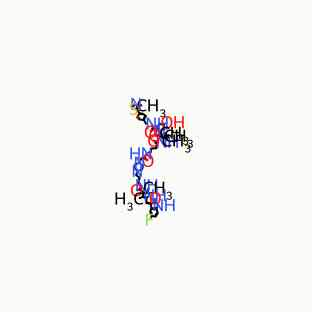 Cc1ncsc1-c1ccc(CNC(=O)[C@@H]2C[C@@H](O)CN2C(=O)[C@@H](NC(=O)CCCNC(=O)CN2CCN(CCCNC(=O)c3c(C)[nH]c(/C=C4\C(=O)Nc5ccc(F)cc54)c3C)CC2)C(C)(C)C)cc1